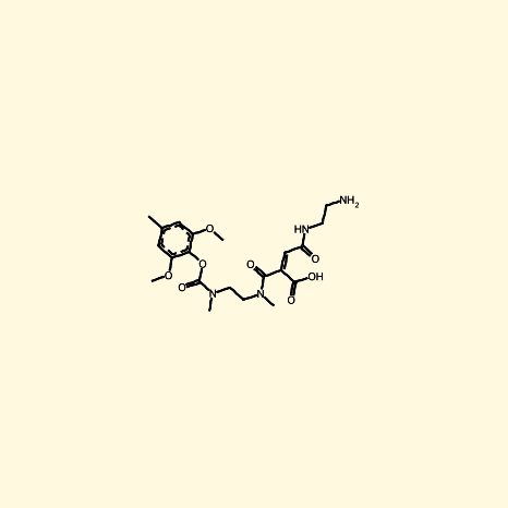 COc1cc(C)cc(OC)c1OC(=O)N(C)CCN(C)C(=O)C(=CC(=O)NCCN)C(=O)O